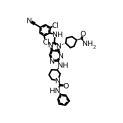 N#Cc1cc(Cl)c(Nc2nc3cnc(N[C@@H]4CCCN(C(=O)Nc5ccccc5)C4)nc3n2[C@H]2CC[C@H](C(N)=O)CC2)c(Cl)c1